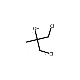 CC(O)(CCl)CCl